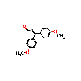 COC1=CCC(C(=CC=O)c2ccc(OC)cc2)C=C1